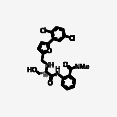 CNC(=O)c1ccccc1NC(=O)[C@H](CO)NCc1ccc(-c2cc(Cl)ccc2Cl)o1